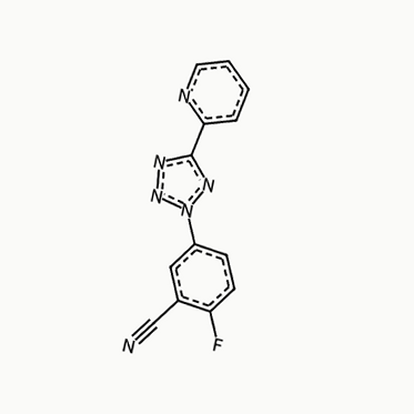 N#Cc1cc(-n2nnc(-c3ccccn3)n2)ccc1F